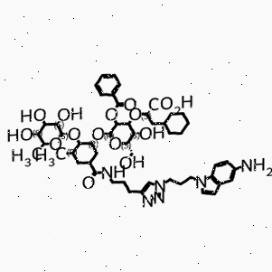 CC1O[C@@H](OC2[C@H](C)CC(C(=O)NCCCc3cn(CCCn4ccc5cc(N)ccc54)nn3)C[C@H]2O[C@@H]2O[C@@H](CO)[C@H](O)C(O[C@@H](CC3CCCCC3)C(=O)O)C2OC(=O)c2ccccc2)[C@@H](O)C(O)[C@@H]1O